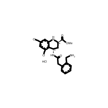 COC(=O)[C@H]1C[C@H](NC(=O)Cc2ccccc2CN)c2c(Cl)cc(Cl)cc2N1.Cl